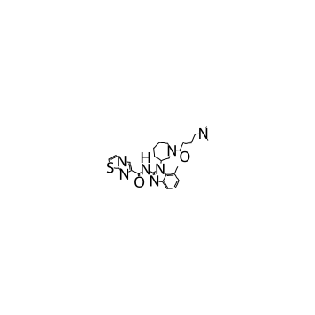 Cc1cccc2nc(NC(=O)c3cn4ccsc4n3)n(C3CCCCN(C(=O)C=CCN(C)C)C3)c12